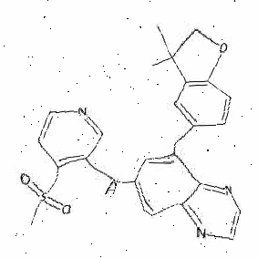 CC1(C)COc2ccc(-c3cc(Nc4cnccc4S(C)(=O)=O)cc4nccnc34)cc21